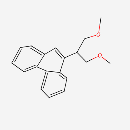 COCC(COC)c1cc2ccccc2c2ccccc12